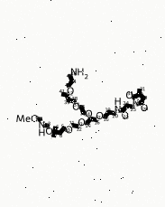 COCNCOC(C)(C)CCOCCOCC(COCCCNC(=O)CCN1C(=O)CC(C)C1=O)OCCOCCC(C)OCCCN